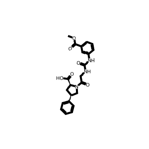 COC(=O)c1cccc(NC(=O)NCC(=O)N2C[C@@H](c3ccccc3)C[C@H]2C(=O)O)c1